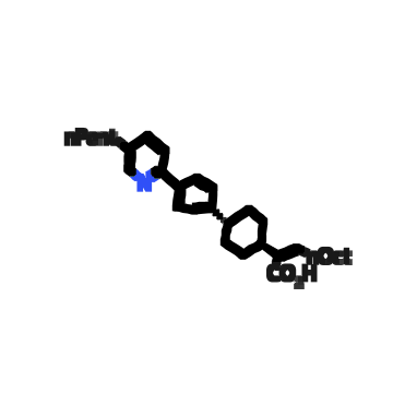 CCCCCCCCC=C(C(=O)O)[C@H]1CC[C@H](c2ccc(-c3ccc(CCCCC)cn3)cc2)CC1